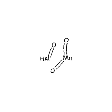 [O]=[AlH].[O]=[Mn]=[O]